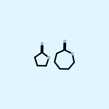 O=C1CCCCCO1.O=C1CCCO1